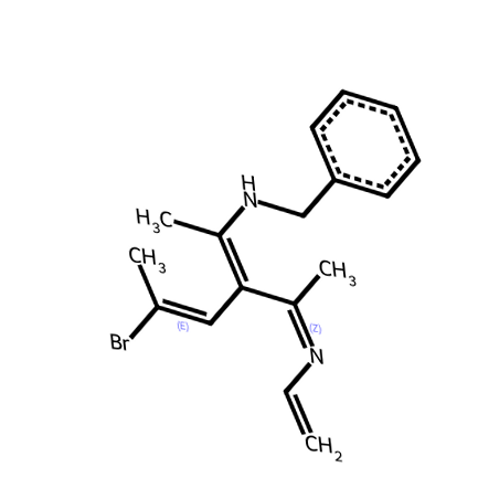 C=C/N=C(/C)C(/C=C(\C)Br)=C(C)NCc1ccccc1